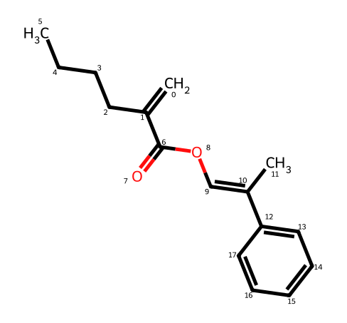 C=C(CCCC)C(=O)OC=C(C)c1ccccc1